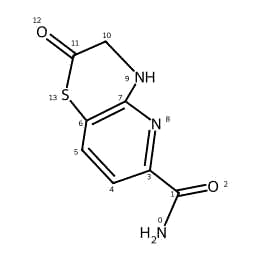 NC(=O)c1ccc2c(n1)NCC(=O)S2